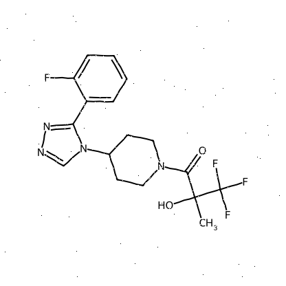 CC(O)(C(=O)N1CCC(n2cnnc2-c2ccccc2F)CC1)C(F)(F)F